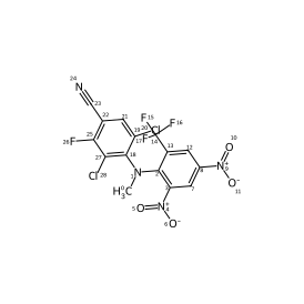 CN(c1c([N+](=O)[O-])cc([N+](=O)[O-])cc1C(F)(F)F)c1c(Cl)cc(C#N)c(F)c1Cl